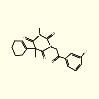 CN1C(=O)N(CC(=O)c2cccc(Cl)c2)C(=O)C(C)(C2=CCCCC2)C1=O